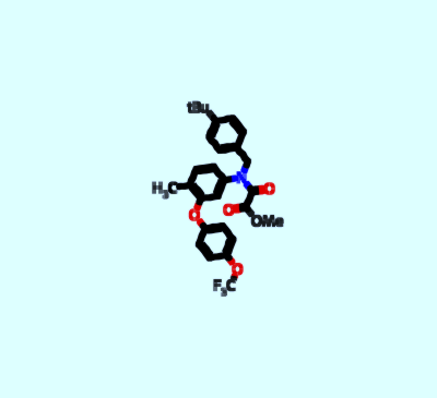 COC(=O)C(=O)N(Cc1ccc(C(C)(C)C)cc1)c1ccc(C)c(Oc2ccc(OC(F)(F)F)cc2)c1